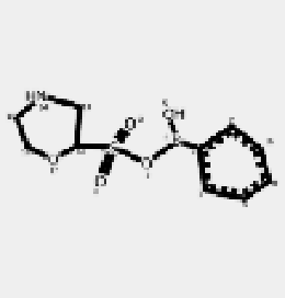 O=S(=O)(OB(O)c1ccccc1)C1CNCCO1